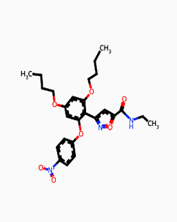 CCCCOc1cc(OCCCC)c(-c2cc(C(=O)NCC)on2)c(Oc2ccc([N+](=O)[O-])cc2)c1